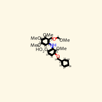 COCOCc1c(Nc2c(C(=O)O)ccc(OCc3ccccc3)c2OC)cc(OC)c(OC)c1OC